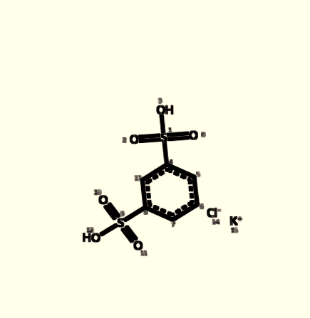 O=S(=O)(O)c1cccc(S(=O)(=O)O)c1.[Cl-].[K+]